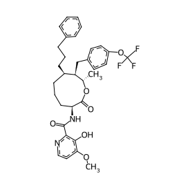 COc1ccnc(C(=O)N[C@H]2CCC[C@@H](CCCc3ccccc3)[C@@H](Cc3ccc(OC(F)(F)F)cc3)[C@H](C)OC2=O)c1O